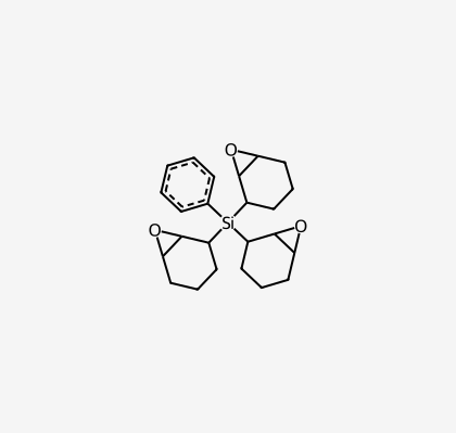 c1ccc([Si](C2CCCC3OC32)(C2CCCC3OC32)C2CCCC3OC32)cc1